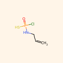 C=CCNP(=O)(S)Cl